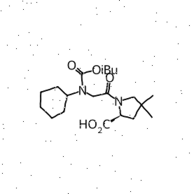 CC(C)COC(=O)N(CC(=O)N1CC(C)(C)C[C@H]1C(=O)O)C1CCCCC1